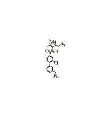 Cc1c(N[S+]([O-])c2ccc(-c3cccc(CN(C)C)c3)c(Cl)c2)c(CC(C)C)nn1C